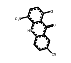 N#Cc1ccc2[nH]c3c([N+](=O)[O-])ccc(Cl)c3c(=O)c2c1